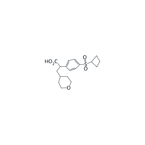 O=C(O)C(CC1CCOCC1)c1ccc(S(=O)(=O)C2CCC2)cc1